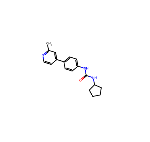 Cc1cc(-c2ccc(NC(=O)NC3CCCC3)cc2)ccn1